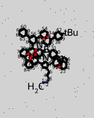 C=C/C=C\C=CC1=CC(c2ccccc2)=C(N2c3cc(N4C5CC6CC(C5)CC4C6)ccc3B3c4cc(-c5ccc(C(C)(C)C)cc5)ccc4N(c4c(-c5ccccc5)cc(-c5ccccc5)cc4-c4ccccc4)c4cc(-n5c6ccccc6c6ccccc65)cc2c43)[C@H]1c1ccccc1